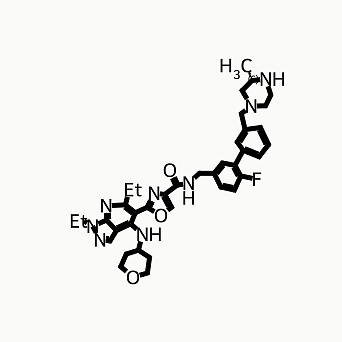 CCc1nc2c(cnn2CC)c(NC2CCOCC2)c1-c1nc(C(=O)NCc2ccc(F)c(-c3cccc(CN4CCN[C@@H](C)C4)c3)c2)co1